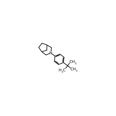 CC(C)(C)c1ccc(N2CC3CCC(C3)C2)cc1